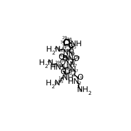 NCCNC(=O)CCN(CCC(=O)NCCN)C[C@@H](C(=O)NCCc1c[nH]c2ccccc12)N(CCC(=O)NCCN)CCC(=O)NCCN